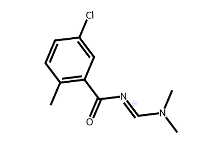 Cc1ccc(Cl)cc1C(=O)/N=C/N(C)C